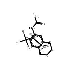 CC(=O)Nc1ccc2c(c1)C1CCC2CN(C(=O)C(F)(F)F)C1